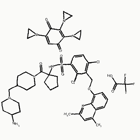 Cc1cc(C)c2cccc(OCc3c(Cl)ccc(S(=O)(=O)NC4(C(=O)N5CCC(CN6CCC(N)CC6)CC5)CCCC4)c3Cl)c2n1.O=C(O)C(F)(F)F.O=C1C=C(N2CC2)C(=O)C(N2CC2)=C1N1CC1